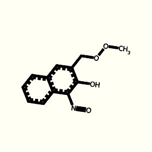 COOCc1cc2ccccc2c(N=O)c1O